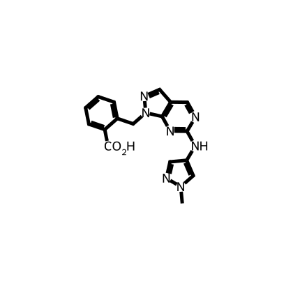 Cn1cc(Nc2ncc3cnn(Cc4ccccc4C(=O)O)c3n2)cn1